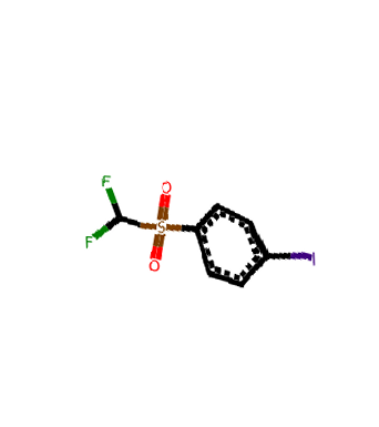 O=S(=O)(c1ccc(I)cc1)C(F)F